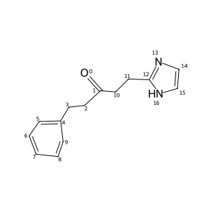 O=C(CCc1ccccc1)CCc1ncc[nH]1